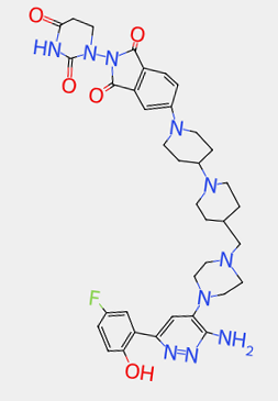 Nc1nnc(-c2cc(F)ccc2O)cc1N1CCN(CC2CCN(C3CCN(c4ccc5c(c4)C(=O)N(N4CCC(=O)NC4=O)C5=O)CC3)CC2)CC1